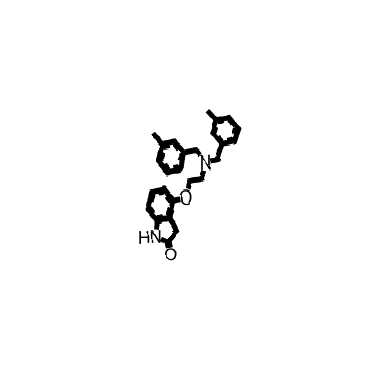 Cc1cccc(CN(CCOc2cccc3c2CC(=O)N3)Cc2cccc(C)c2)c1